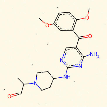 COc1ccc(OC)c(C(=O)c2cnc(NC3CCN(C(C)C=O)CC3)nc2N)c1